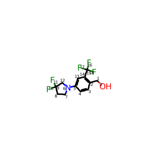 OCc1ccc(N2CCC(F)(F)C2)cc1C(F)(F)F